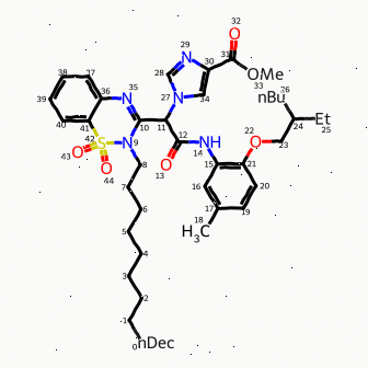 CCCCCCCCCCCCCCCCCCN1C(C(C(=O)Nc2cc(C)ccc2OCC(CC)CCCC)n2cnc(C(=O)OC)c2)=Nc2ccccc2S1(=O)=O